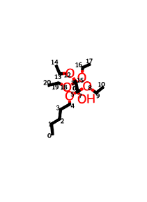 CCCCCOC(O)(OCC)C(OCC)(OCC)OCC